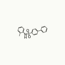 Cc1ccccc1NS(=O)(=O)c1ccc(-c2ccccc2)cc1